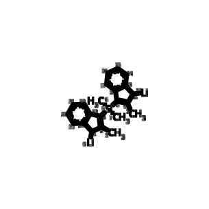 [Li][CH]1C(C)=C([Si](C)(C)C2=C(C)[CH]([Li])c3ccccc32)c2ccccc21